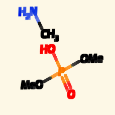 CN.COP(=O)(O)OC